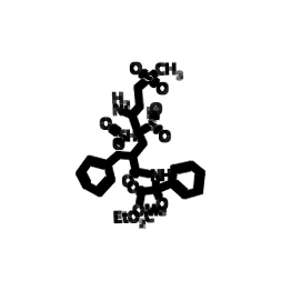 CCOC(=O)OC(NC(=O)C(Cc1ccccc1)CC(C(N)CCS(C)(=O)=O)([SH](=O)=O)[SH](=O)=O)(C(=O)OC)c1ccccc1